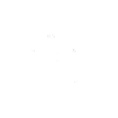 CCNC(=O)CN.COCCOCCOC